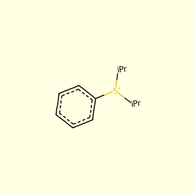 CC(C)[S+](c1ccccc1)C(C)C